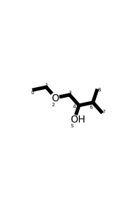 CCOCC(O)C(C)C